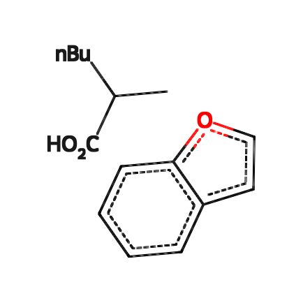 CCCCC(C)C(=O)O.c1ccc2occc2c1